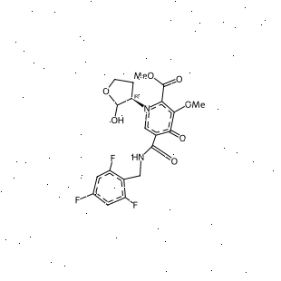 COC(=O)c1c(OC)c(=O)c(C(=O)NCc2c(F)cc(F)cc2F)cn1[C@@H]1CCOC1O